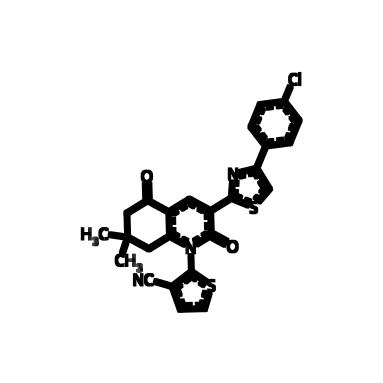 CC1(C)CC(=O)c2cc(-c3nc(-c4ccc(Cl)cc4)cs3)c(=O)n(-c3sccc3C#N)c2C1